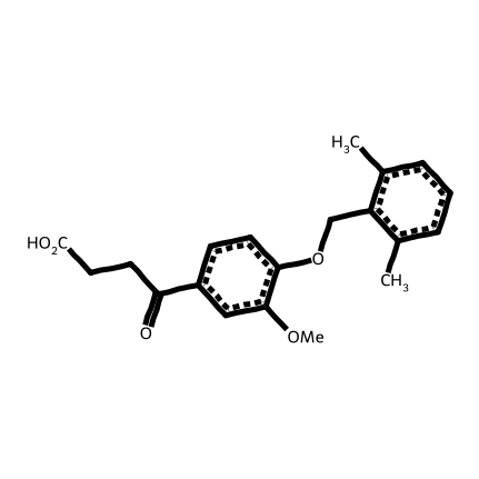 COc1cc(C(=O)CCC(=O)O)ccc1OCc1c(C)cccc1C